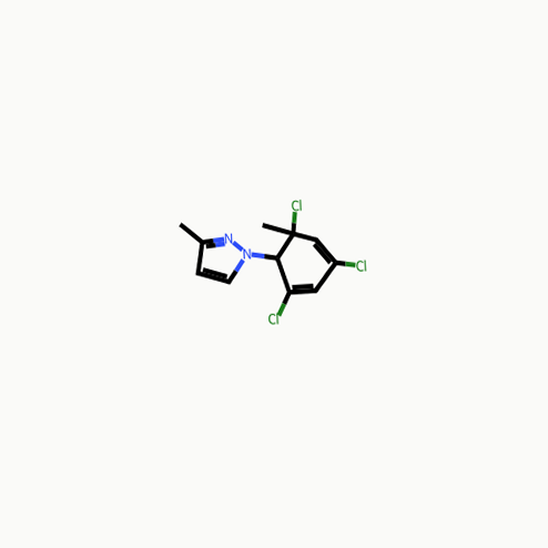 Cc1ccn(C2C(Cl)=CC(Cl)=CC2(C)Cl)n1